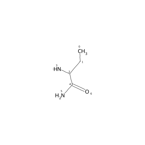 CCC([NH])C(N)=O